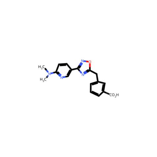 CN(C)c1ccc(-c2noc(Cc3cccc(C(=O)O)c3)n2)cn1